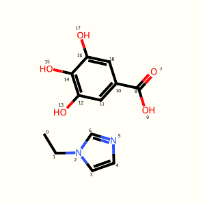 CCn1ccnc1.O=C(O)c1cc(O)c(O)c(O)c1